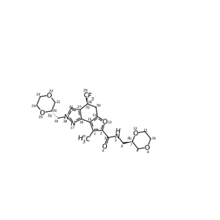 Cc1c(C(=O)NC[C@@H]2COCCO2)oc2c1-c1nn(C[C@H]3COCCO3)cc1[C@@H](C(F)(F)F)C2